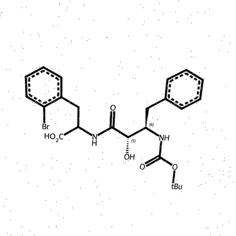 CC(C)(C)OC(=O)N[C@H](Cc1ccccc1)[C@H](O)C(=O)NC(Cc1ccccc1Br)C(=O)O